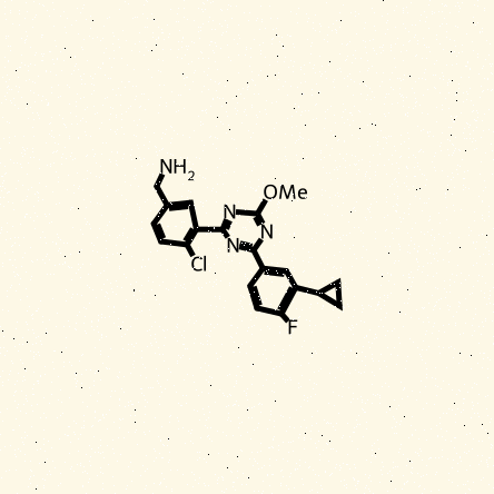 COc1nc(-c2ccc(F)c(C3CC3)c2)nc(-c2cc(CN)ccc2Cl)n1